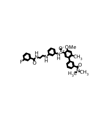 COc1cc(C)c(-c2cccc(C(=O)N(C)C)c2)cc1[S+]([O-])Nc1cccc(NCCNC(=O)c2cccc(F)c2)c1